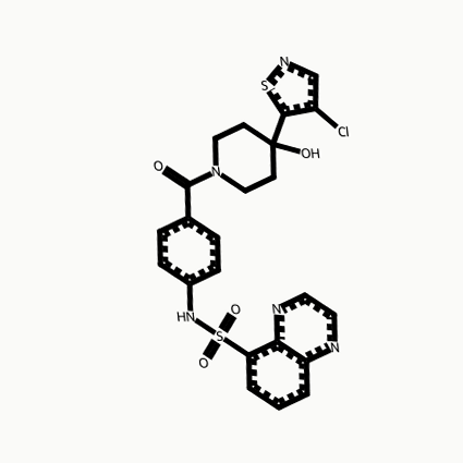 O=C(c1ccc(NS(=O)(=O)c2cccc3nccnc23)cc1)N1CCC(O)(c2sncc2Cl)CC1